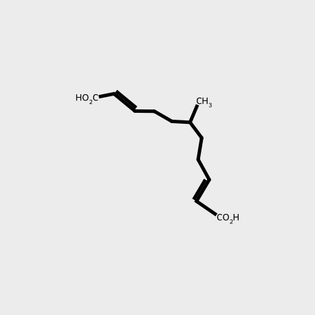 CC(CCC=CC(=O)O)CCC=CC(=O)O